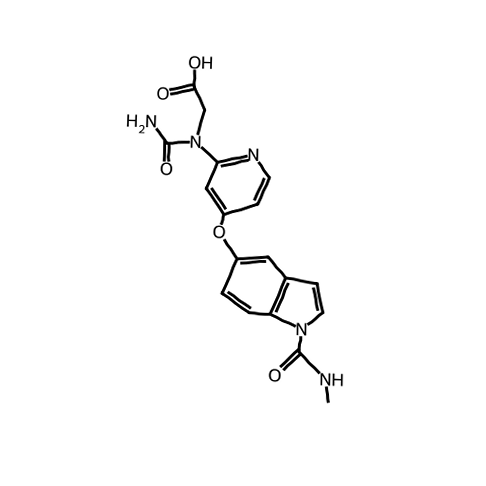 CNC(=O)n1ccc2cc(Oc3ccnc(N(CC(=O)O)C(N)=O)c3)ccc21